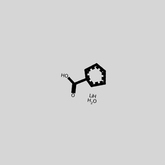 O.O=C(O)c1ccccc1.[LiH]